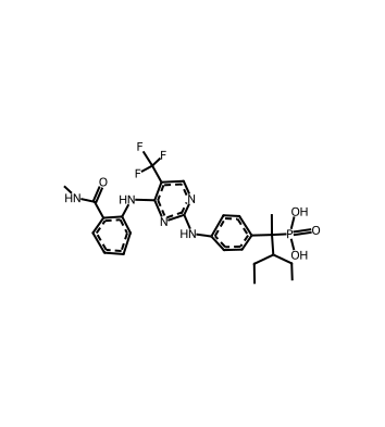 CCC(CC)C(C)(c1ccc(Nc2ncc(C(F)(F)F)c(Nc3ccccc3C(=O)NC)n2)cc1)P(=O)(O)O